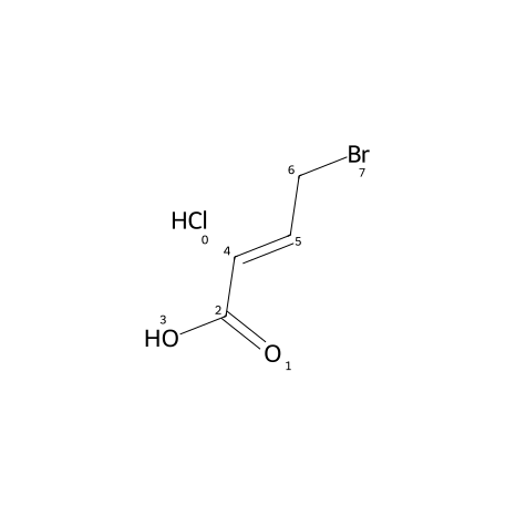 Cl.O=C(O)/C=C/CBr